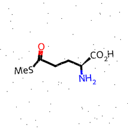 CSC(=O)CC[C@H](N)C(=O)O